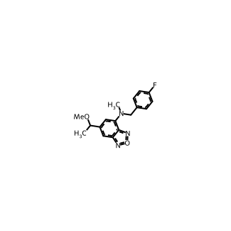 COC(C)c1cc(N(C)Cc2ccc(F)cc2)c2nonc2c1